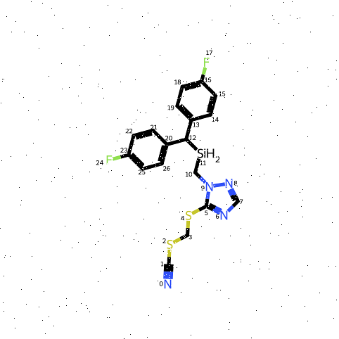 N#CSCSc1ncnn1C[SiH2]C(c1ccc(F)cc1)c1ccc(F)cc1